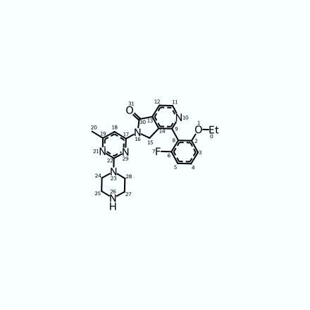 CCOc1cccc(F)c1-c1nccc2c1CN(c1cc(C)nc(N3CCNCC3)n1)C2=O